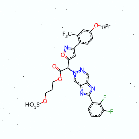 CCCOc1ccc(-c2cc(C(C(=O)OCCCOS(=O)(=O)O)n3cc4nc(-c5cccc(F)c5F)nc-4cn3)on2)c(C(F)(F)F)c1